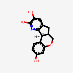 Oc1ccc2c(c1)OCC1Cc3cc(O)c(O)nc3[C@H]21